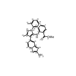 COC(=O)c1ccccc1Nc1c(-c2ccn3nc(N)nc3c2)c(C)nn1-c1ccccc1C